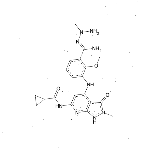 COc1c(Nc2cc(NC(=O)C3CC3)nc3[nH]n(C)c(=O)c23)cccc1/C(N)=N/N(C)N